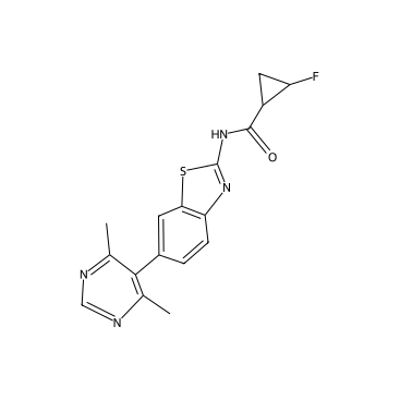 Cc1ncnc(C)c1-c1ccc2nc(NC(=O)C3CC3F)sc2c1